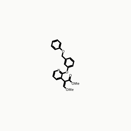 COC=C(C(=O)OC)c1cccnc1Oc1cccc(COc2ccccc2)c1